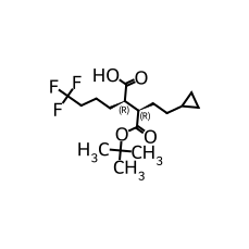 CC(C)(C)OC(=O)[C@H](CCC1CC1)[C@@H](CCCC(F)(F)F)C(=O)O